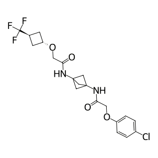 O=C(COc1ccc(Cl)cc1)NC12CC(NC(=O)CO[C@H]3C[C@H](C(F)(F)F)C3)(C1)C2